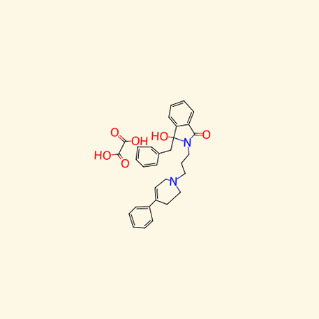 O=C(O)C(=O)O.O=C1c2ccccc2C(O)(Cc2ccccc2)N1CCCN1CC=C(c2ccccc2)CC1